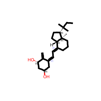 C=C1/C(=C\C=C2/CCC[C@]3(C)[C@@H](C(C)(C)CC)CC[C@@H]23)C[C@@H](O)C[C@@H]1O